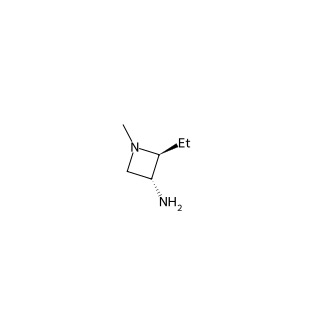 CC[C@H]1[C@H](N)CN1C